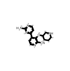 N#Cc1nccc(-c2ccnc(N)n2)c1OC1CCCNC1